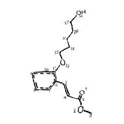 COC(=O)C=Cc1ccccc1OCCCCCO